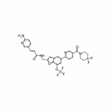 Nc1ccc(/C=C/C(=O)NCc2cc3cc(-c4ccc(C(=O)N5CCC(F)(F)CC5)cn4)cc(OC(F)(F)F)c3o2)cn1